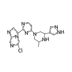 CC1CN(c2ccnc(-c3cnc4cnc(Cl)cn34)n2)CC(c2cn[nH]c2)N1